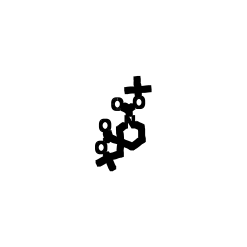 CC(C)(C)OC(=O)N1CCCC2(C1)CC(C)(C)OC2=O